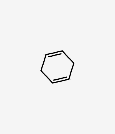 [C]1=CC[C]=CC1